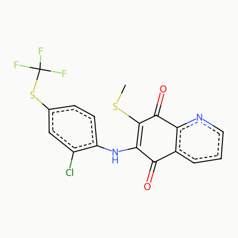 CSC1=C(Nc2ccc(SC(F)(F)F)cc2Cl)C(=O)c2cccnc2C1=O